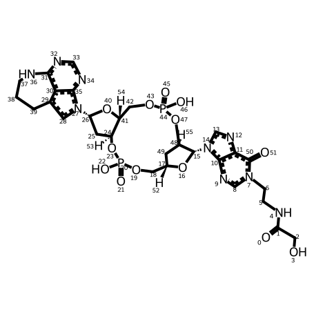 O=C(CO)NCCn1cnc2c(ncn2[C@@H]2O[C@@H]3COP(=O)(O)O[C@H]4C[C@H](n5cc6c7c(ncnc75)NCCC6)O[C@@H]4COP(=O)(O)O[C@@H]2C3)c1=O